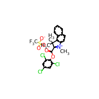 C[N+]1=C(C(=O)Oc2c(Cl)cc(Cl)cc2Cl)C(C)(C)c2c1ccc1ccccc21.O=S(=O)([O-])C(F)(F)F